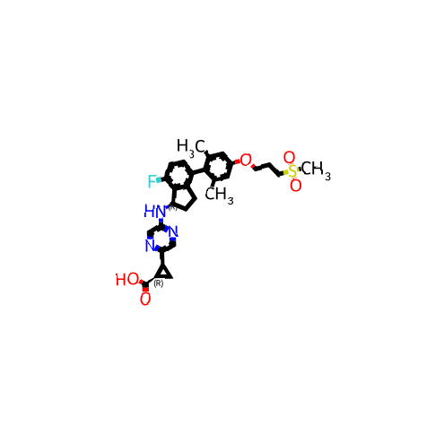 Cc1cc(OCCCS(C)(=O)=O)cc(C)c1-c1ccc(F)c2c1CC[C@H]2Nc1cnc(C2C[C@H]2C(=O)O)cn1